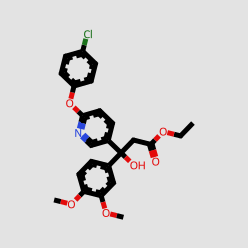 CCOC(=O)CC(O)(c1ccc(Oc2ccc(Cl)cc2)nc1)c1ccc(OC)c(OC)c1